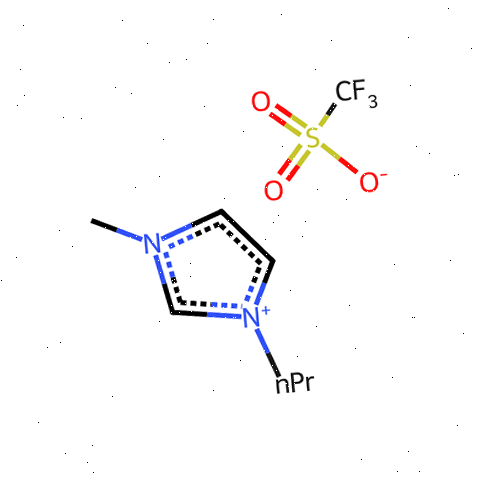 CCC[n+]1ccn(C)c1.O=S(=O)([O-])C(F)(F)F